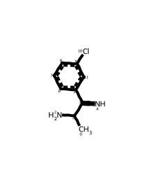 CC(N)C(=N)c1cccc(Cl)c1